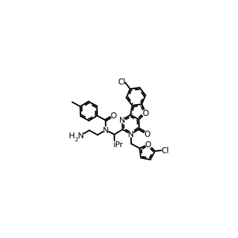 Cc1ccc(C(=O)N(CCN)C(c2nc3c(oc4ccc(Cl)cc43)c(=O)n2Cc2ccc(Cl)o2)C(C)C)cc1